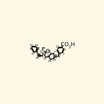 O=C(O)c1ccc(CN2CCC(CN(C(=O)C(F)(F)F)[C@@H]3C[C@H]3c3ccccc3)CC2)cc1